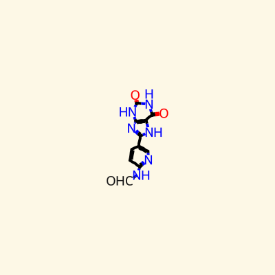 O=CNc1ccc(-c2nc3[nH]c(=O)[nH]c(=O)c3[nH]2)cn1